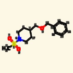 CS(=O)(=O)N1CCC(COCc2ccccc2)CC1